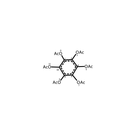 CC(=O)Oc1c(OC(C)=O)c(OC(C)=O)c(OC(C)=O)c(OC(C)=O)c1OC(C)=O